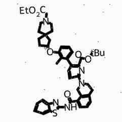 CCOC(=O)CN1CCC2(CC[C@@H](Oc3cccc(-c4ccc(N5CCc6cccc(C(=O)Nc7nc8ccccc8s7)c6C5)nc4C(=O)OC(C)(C)C)c3C)C2)CC1